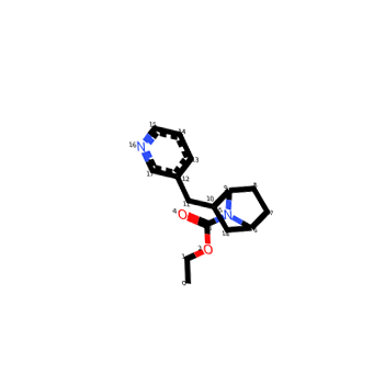 CCOC(=O)N1C2CCC1C(Cc1cccnc1)C2